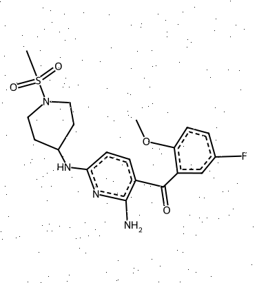 COc1ccc(F)cc1C(=O)c1ccc(NC2CCN(S(C)(=O)=O)CC2)nc1N